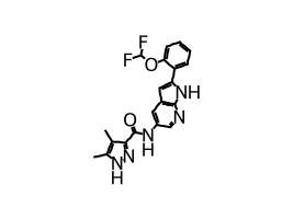 Cc1[nH]nc(C(=O)Nc2cnc3[nH]c(-c4ccccc4OC(F)F)cc3c2)c1C